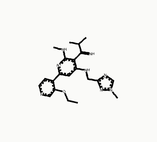 CCOc1cnccc1-c1cc(NCc2ncn(C)n2)c(C(=N)C(C)C)c(NC)n1